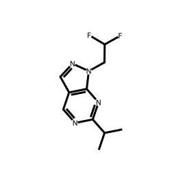 CC(C)c1ncc2cnn(CC(F)F)c2n1